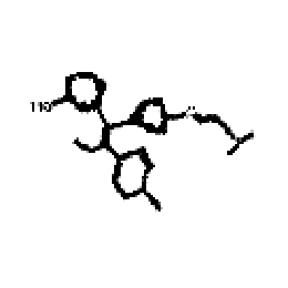 CC/C(C1=CCC(C)C=C1)=C(/c1ccc(OCCN(C)C)cc1)c1cccc(O)c1